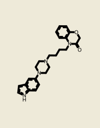 O=C1COc2ccccc2N1CCCCN1CCN(c2ccc3[nH]ccc3c2)CC1